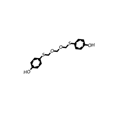 Oc1ccc(SCOCOCSc2ccc(O)cc2)cc1